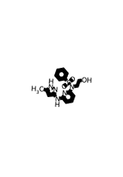 Cc1cc(Nc2cccc(N(CCO)S(=O)(=O)c3ccccc3)n2)n[nH]1